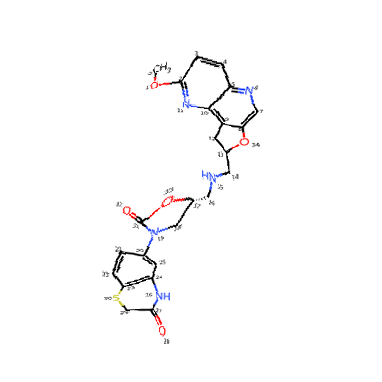 COc1ccc2ncc3c(c2n1)CC(CNC[C@@H]1CN(c2ccc4c(c2)NC(=O)CS4)C(=O)O1)O3